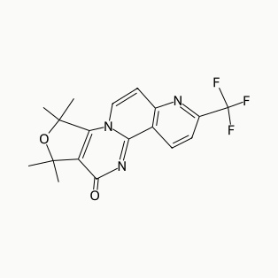 CC1(C)OC(C)(C)c2c1c(=O)nc1c3ccc(C(F)(F)F)nc3ccn21